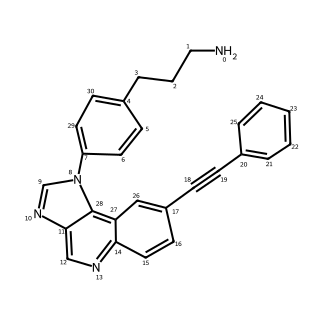 NCCCc1ccc(-n2cnc3cnc4ccc(C#Cc5ccccc5)cc4c32)cc1